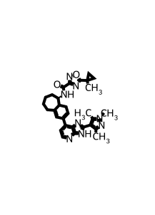 Cc1nn(C)c(C)c1-c1nc2c(C3=CCC4C(=C3)CCCC[C@H]4NC(=O)c3noc(C4(C)CC4)n3)ccnc2[nH]1